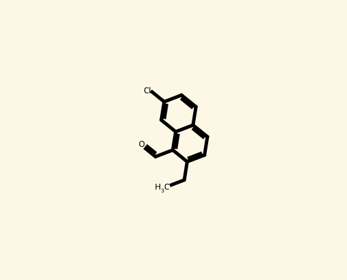 CCc1ccc2ccc(Cl)cc2c1C=O